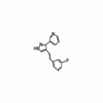 Fc1cccc(/C=C/c2c[nH]nc2-c2cccnc2)c1